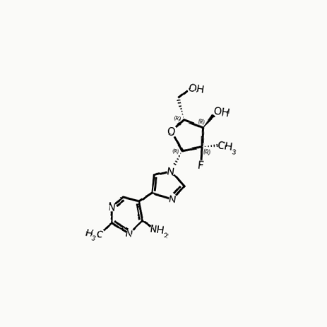 Cc1ncc(-c2cn([C@@H]3O[C@H](CO)[C@@H](O)[C@@]3(C)F)cn2)c(N)n1